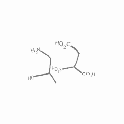 CC(O)CN.O=C(O)CC(C(=O)O)S(=O)(=O)O